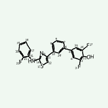 Oc1c(F)cc(-c2cccc(-c3csc(Nc4ccccc4F)n3)c2)cc1F